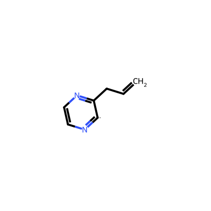 C=CCc1[c]nccn1